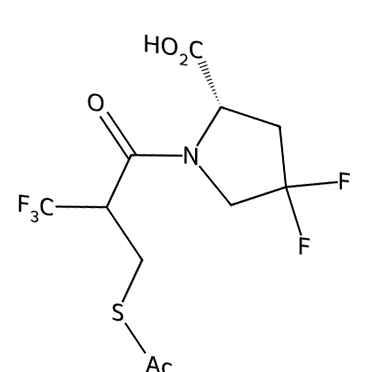 CC(=O)SCC(C(=O)N1CC(F)(F)C[C@H]1C(=O)O)C(F)(F)F